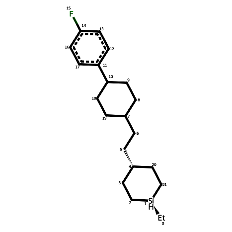 CC[Si@H]1CC[C@H](CCC2CCC(c3ccc(F)cc3)CC2)CC1